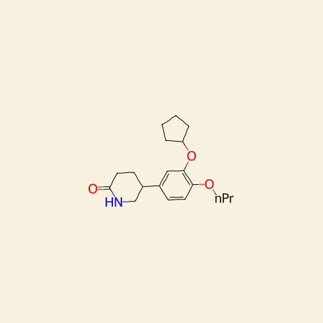 CCCOc1ccc(C2CCC(=O)NC2)cc1OC1CCCC1